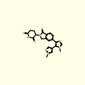 Cn1cc(-c2c(-c3ccc4c(c3)CN(C3CCC(=O)NC3=O)C4=O)ncn2C)cn1